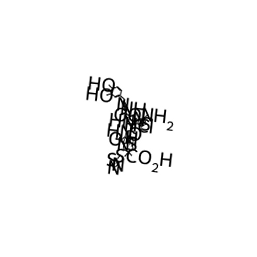 Cl.Nc1nc(C(NC(=O)C(=O)NN=Cc2ccc(O)c(O)c2)C(=O)NC2C(=O)N3CC(CSc4nncs4)(C(=O)O)CS[C@H]23)cs1